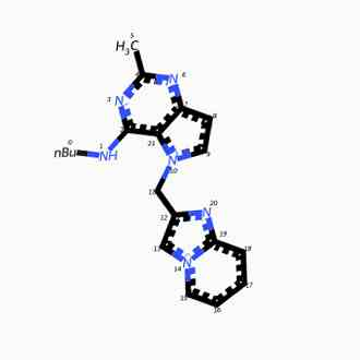 CCCCNc1nc(C)nc2ccn(Cc3cn4ccccc4n3)c12